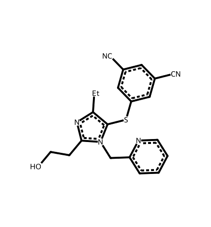 CCc1nc(CCO)n(Cc2ccccn2)c1Sc1cc(C#N)cc(C#N)c1